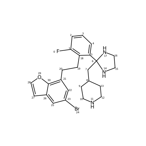 Fc1cccc(C2(CC3CCNCC3)NCCN2)c1CCc1cc(Br)cc2ccoc12